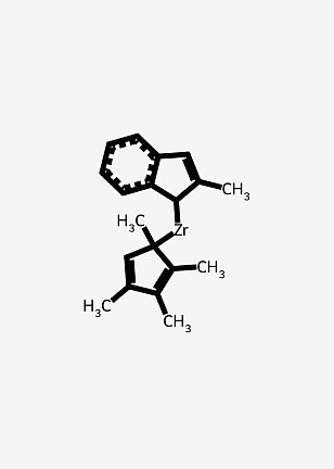 CC1=C[C](C)([Zr][CH]2C(C)=Cc3ccccc32)C(C)=C1C